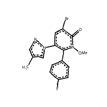 COn1c(-c2ccc(F)cc2)c(-n2cc(C)cn2)cc(Br)c1=O